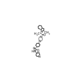 Cc1cc2ccccc2n1C(C)C(=O)N1CCN(c2ccc(S(=O)(=O)Nc3ccncn3)cc2)CC1